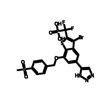 CS(=O)(=O)c1ccc(COc2cc(-c3cnn[nH]3)cc3c(Br)c(C(F)(F)P(=O)(O)O)sc23)cc1